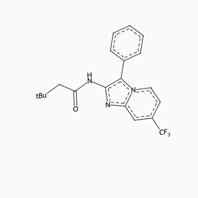 CC(C)(C)CC(=O)Nc1nc2cc(C(F)(F)F)ccn2c1-c1ccccc1